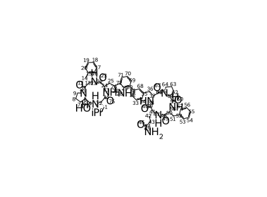 CC(C)C[C@@H]1NC(O)[C@H]2CCCN2C(=O)[C@H](Cc2ccccc2)NC(=O)[C@@H](Cc2c[nH]c3c(-c4cccc(C[C@@H]5NC(=O)[C@@H](CCC(N)=O)NC(=O)[C@H](Cc6ccccc6)NC(=O)[C@H]6CCCN6C5=O)c4)cccc23)NC1=O